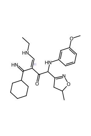 CCN/C=C(\C(=N)C1CCCCC1)C(=O)C(Nc1cccc(OC)c1)C1=NOC(C)C1